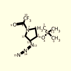 C[Si](C)(C)O[C@H]1CN(C(=O)C(F)(F)F)C[C@@H]1N=[N+]=[N-]